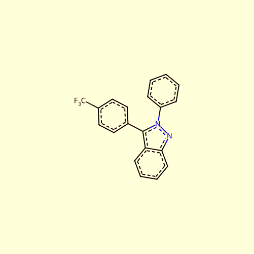 FC(F)(F)c1ccc(-c2c3ccccc3nn2-c2ccccc2)cc1